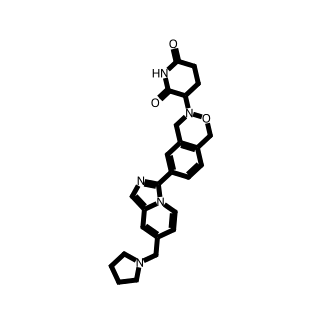 O=C1CCC(N2Cc3cc(-c4ncc5cc(CN6CCCC6)ccn45)ccc3CO2)C(=O)N1